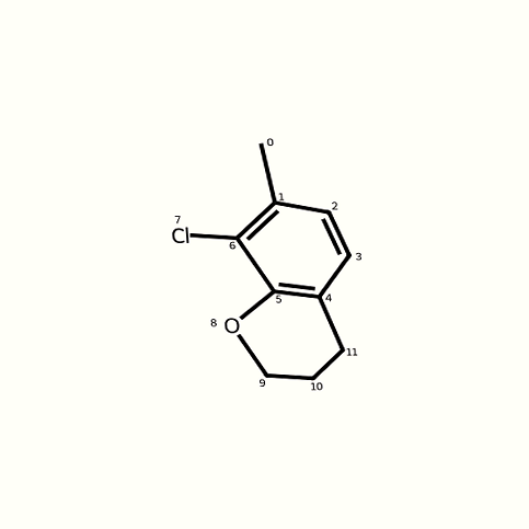 Cc1ccc2c(c1Cl)OCCC2